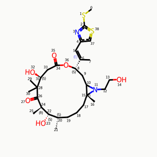 CSc1nc(/C=C(\C)[C@@H]2CC3N(CCO)[C@]3(C)CCC[C@H](C)[C@H](O)[C@@H](C)C(=O)C(C)(C)[C@@H](O)CC(=O)O2)cs1